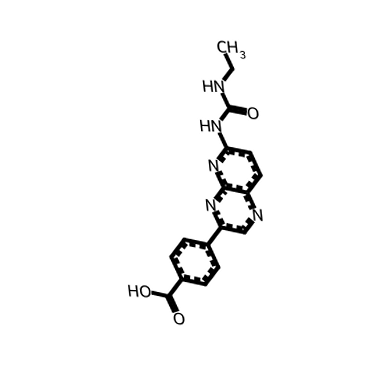 CCNC(=O)Nc1ccc2ncc(-c3ccc(C(=O)O)cc3)nc2n1